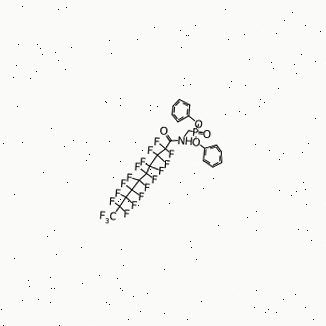 O=C(NCP(=O)(Oc1ccccc1)Oc1ccccc1)C(F)(F)C(F)(F)C(F)(F)C(F)(F)C(F)(F)C(F)(F)C(F)(F)C(F)(F)C(F)(F)F